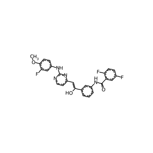 COc1ccc(Nc2nccc(C=C(O)c3cccc(NC(=O)c4cc(F)ccc4F)c3)n2)cc1F